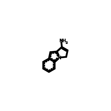 NC1=CCn2c1cc1ccccc12